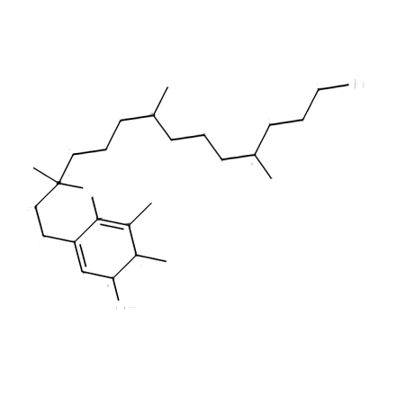 CC1=C2OC(C)(CCCC(C)CCCC(C)CCCC(C)C)CCC2=CC(O)C1C